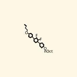 C=CCCOc1ccc(-c2ccc(-c3ccc(OCCCCCCCC)cc3)c(F)c2F)cc1